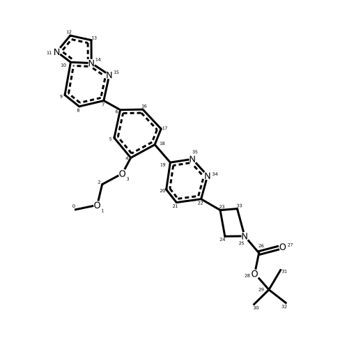 COCOc1cc(-c2ccc3nccn3n2)ccc1-c1ccc(C2CN(C(=O)OC(C)(C)C)C2)nn1